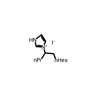 CCCCCCCC(CCC)[n+]1cc[nH]c1.[I-]